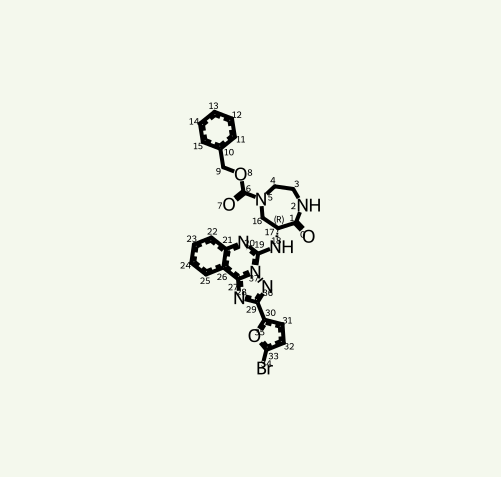 O=C1NCCN(C(=O)OCc2ccccc2)C[C@H]1Nc1nc2ccccc2c2nc(-c3ccc(Br)o3)nn12